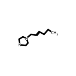 CCCC=CCN1CC[N]CC1